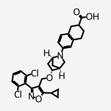 O=C(O)C1CCc2cc(N3C[C@@H]4C[C@H]3C[C@H]4OCc3c(-c4c(Cl)cccc4Cl)noc3C3CC3)ccc2C1